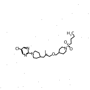 CCCCS(=O)(=O)N1CCC(COC[C@H](I)CC2CCN(c3ncc(Cl)cn3)CC2)CC1